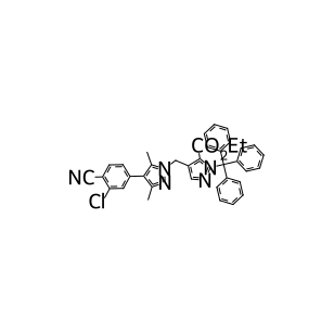 CCOC(=O)c1c(Cn2nc(C)c(-c3ccc(C#N)c(Cl)c3)c2C)cnn1C(c1ccccc1)(c1ccccc1)c1ccccc1